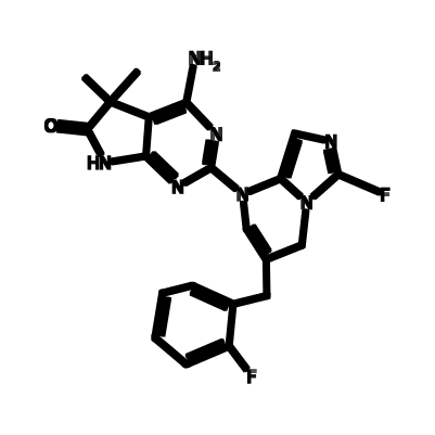 CC1(C)C(=O)Nc2nc(N3C=C(Cc4ccccc4F)Cn4c3cnc4F)nc(N)c21